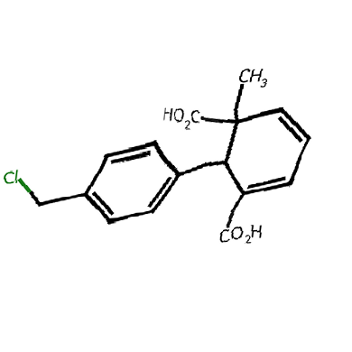 CC1(C(=O)O)C=CC=C(C(=O)O)C1c1ccc(CCl)cc1